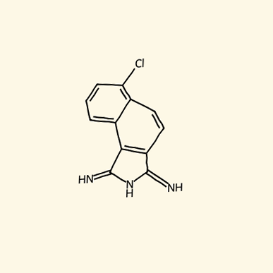 N=C1NC(=N)c2c1ccc1c(Cl)cccc21